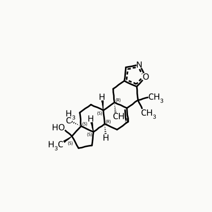 CC1(C)C2=CC[C@@H]3[C@H](CC[C@@]4(C)[C@H]3CC[C@]4(C)O)[C@@]2(C)Cc2cnoc21